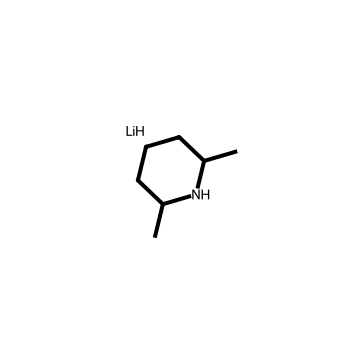 CC1CCCC(C)N1.[LiH]